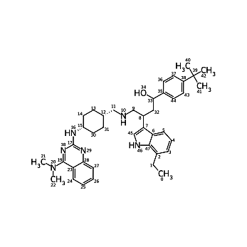 CCc1cccc2c(C(CNC[C@H]3CC[C@@H](Nc4nc(N(C)C)c5ccccc5n4)CC3)CC(O)c3ccc(C(C)(C)C)cc3)c[nH]c12